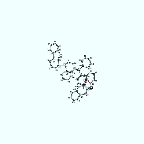 c1ccc(-c2ccccc2N(c2ccc(-c3cccc4c3oc3ccccc34)cc2)c2ccccc2-c2ccc3oc4cc5ccccc5cc4c3c2)cc1